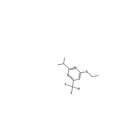 CCSc1cc(C(F)(F)F)nc(C(C)C)n1